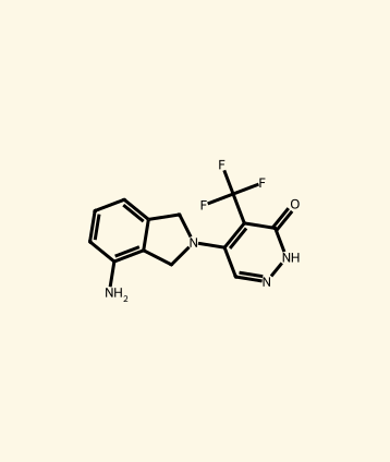 Nc1cccc2c1CN(c1cn[nH]c(=O)c1C(F)(F)F)C2